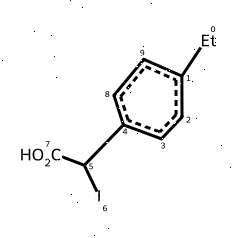 CCc1ccc(C(I)C(=O)O)cc1